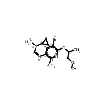 CCCOCC(C)Oc1nc(C)c(/N=C\N(C)C2CC2)cc1Br